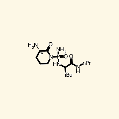 CCCNC(=O)C(NP(N)(=O)N1CCC[C@H](N)C1=O)C(C)CC